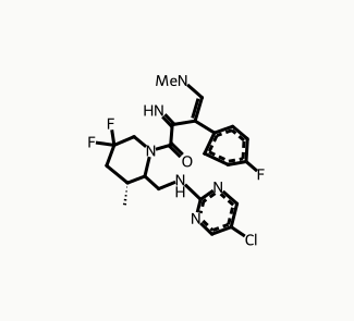 CN/C=C(\C(=N)C(=O)N1CC(F)(F)C[C@@H](C)C1CNc1ncc(Cl)cn1)c1ccc(F)cc1